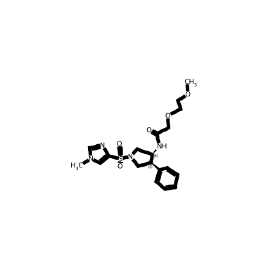 COCCOCC(=O)N[C@H]1CN(S(=O)(=O)c2cn(C)cn2)C[C@@H]1c1ccccc1